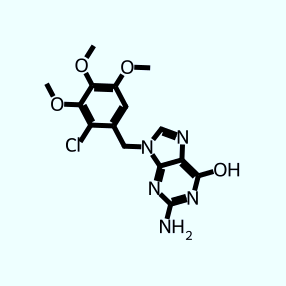 COc1cc(Cn2cnc3c(O)nc(N)nc32)c(Cl)c(OC)c1OC